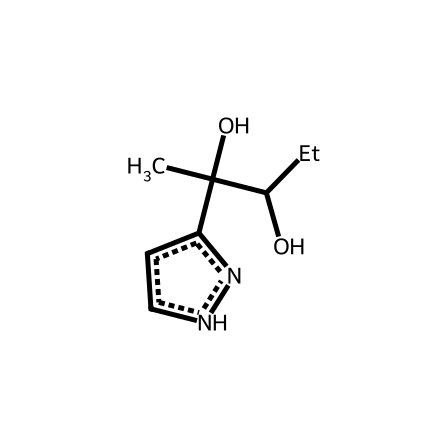 CCC(O)C(C)(O)c1cc[nH]n1